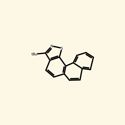 CC(C)(C)c1nsc2c1ccc1ccc3ccccc3c12